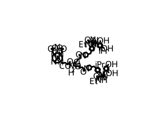 CCNC(=O)c1nnc(-c2cc(C(C)C)c(O)cc2O)n1-c1ccc(CC2CCN(C(=O)CCOCC(COCCC(=O)N3CCC(Cc4ccc(-n5c(C(=O)NCC)nnc5-c5cc(C(C)C)c(O)cc5O)cc4)CC3)NC(=O)CC[C@H](C(=O)O)N3CCN4CCN5CCN(CC3)CC(=O)ON(OC(=O)C5)OC(=O)C4)CC2)cc1